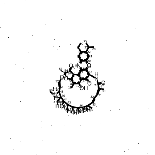 CCc1cc2nc3c4c5c6c(C)c(O)c4c(=O)c(c-3oc2cc1C(C)C)NC(=O)/C(C)=C\C=C\[C@H](C)[C@H](O)[C@@H](C)[C@@H](O)[C@@H](C)[C@H](O)[C@H](C)[C@@H](OC)/C=C/O[C@@](C)(O6)C5=O